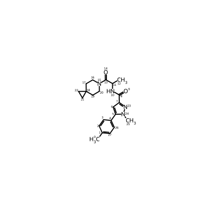 Cc1ccc(-c2cc(C(=O)NC(C)C(=O)N3CCC4(CC3)CC4)nn2C)cc1